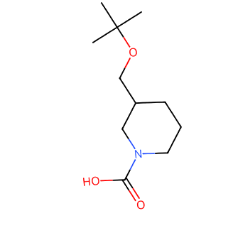 CC(C)(C)OCC1CCCN(C(=O)O)C1